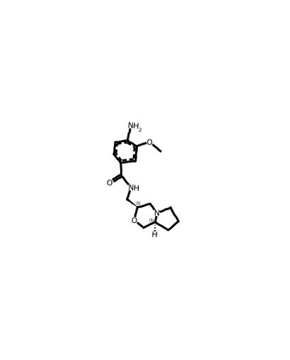 COc1cc(C(=O)NC[C@H]2CN3CCC[C@H]3CO2)ccc1N